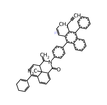 C#CCc1c(/C=C\C)c(-c2ccc(N3C(=C)C4C=CC(C5=CCCC=C5)=C5C=CC=C(C3=O)C54C)cc2)c2ccccc2c1-c1ccccc1